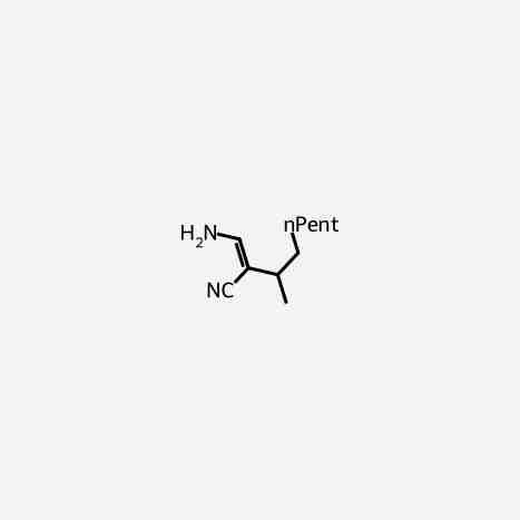 CCCCCCC(C)C(C#N)=CN